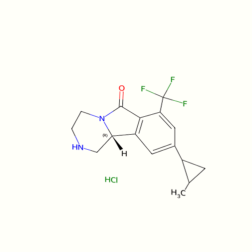 CC1CC1c1cc2c(c(C(F)(F)F)c1)C(=O)N1CCNC[C@@H]21.Cl